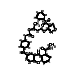 CNC(=O)c1ccccc1Nc1nc(Nc2ccc(CC(=O)OC(C)CCOc3nonc3S(=O)(=O)c3ccccc3)cc2)ncc1Cl